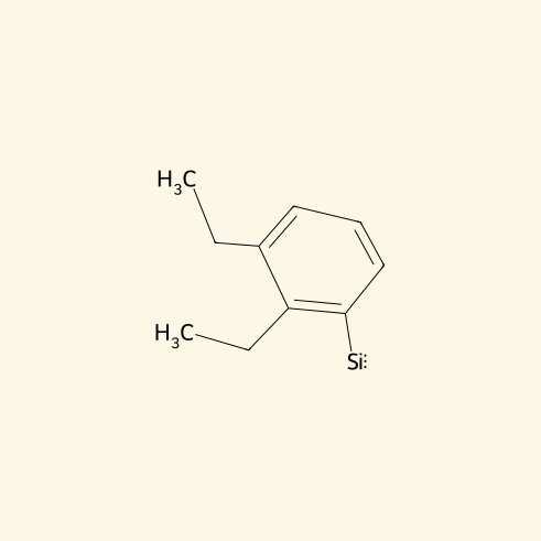 CCc1cccc([Si])c1CC